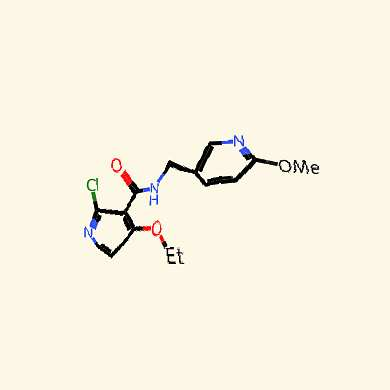 CCOc1ccnc(Cl)c1C(=O)NCc1ccc(OC)nc1